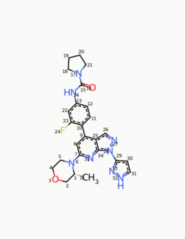 C[C@@H]1COCCN1c1cc(-c2ccc(NC(=O)N3CCCC3)cc2F)c2cnn(-c3cc[nH]n3)c2n1